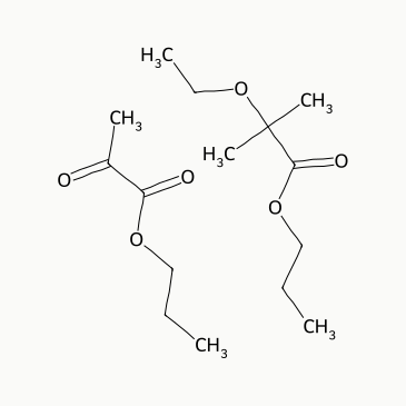 CCCOC(=O)C(C)(C)OCC.CCCOC(=O)C(C)=O